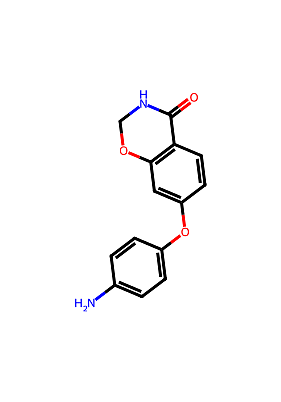 Nc1ccc(Oc2ccc3c(c2)OCNC3=O)cc1